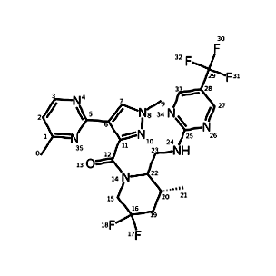 Cc1ccnc(-c2cn(C)nc2C(=O)N2CC(F)(F)C[C@@H](C)C2CNc2ncc(C(F)(F)F)cn2)n1